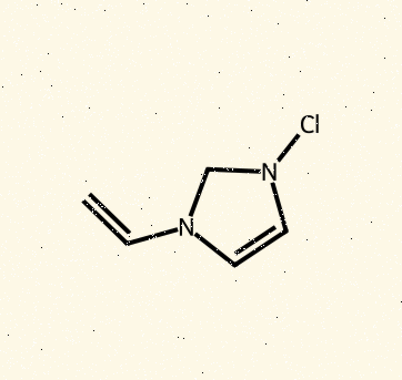 C=CN1C=CN(Cl)C1